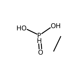 CC.O=[PH](O)O